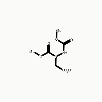 CCOC(=O)CN(NC(=O)OC(C)(C)C)C(=O)OC(C)(C)C